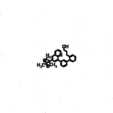 CC(C)(c1cc(-c2cccc(-c3ccccc3CCCO)c2)c2ncccc2c1)S(C)(=O)=O